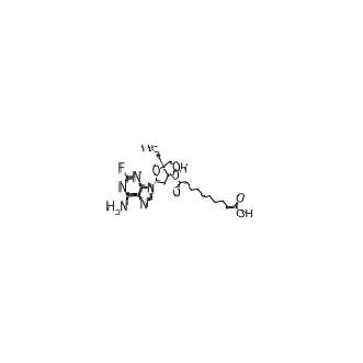 C#C[C@]1(CO)O[C@@H](n2cnc3c(N)nc(F)nc32)C[C@@H]1OC(=O)CCCCCCCCC(=O)O